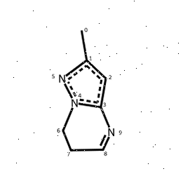 Cc1cc2n(n1)CCC=N2